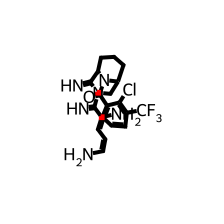 N=C(/C(N)=C/C=C\N)N1CC2CCCC(C1=N)N2C(=O)c1cccc(C(F)(F)F)c1Cl